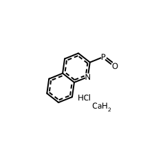 Cl.O=Pc1ccc2ccccc2n1.[CaH2]